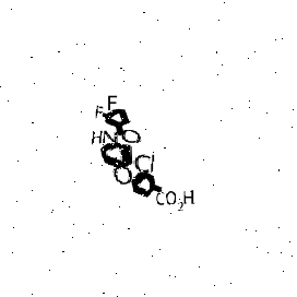 O=C(O)Cc1ccc(Oc2ccc(NC(=O)c3ccc(F)c(F)c3)cc2)c(Cl)c1